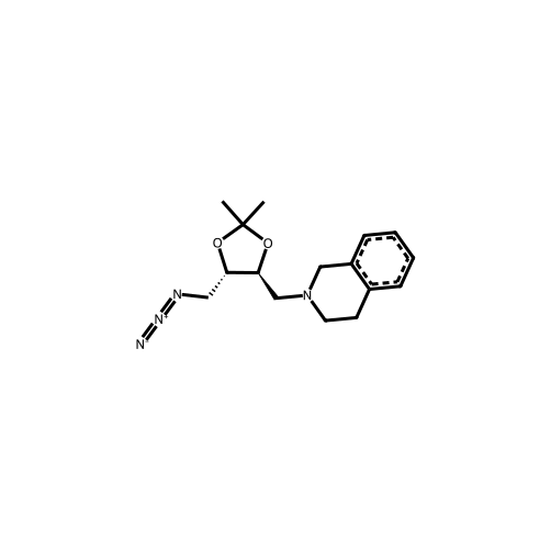 CC1(C)O[C@@H](CN=[N+]=[N-])[C@H](CN2CCc3ccccc3C2)O1